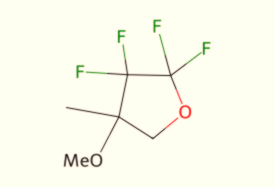 COC1(C)COC(F)(F)C1(F)F